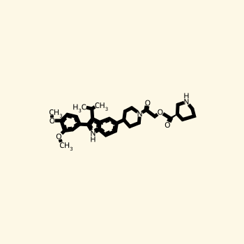 COc1ccc(-c2[nH]c3ccc(C4CCN(C(=O)COC(=O)[C@@H]5CCCNC5)CC4)cc3c2C(C)C)cc1OC